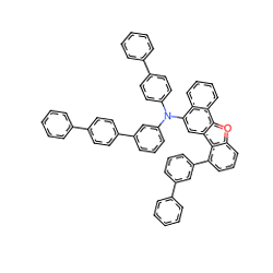 c1ccc(-c2ccc(-c3cccc(N(c4ccc(-c5ccccc5)cc4)c4cc5c(oc6cccc(-c7cccc(-c8ccccc8)c7)c65)c5ccccc45)c3)cc2)cc1